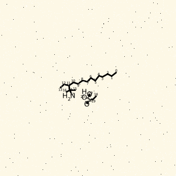 CCCCCCCCCCCC(CC)C(C)(C)N.CCS(=O)(=O)O